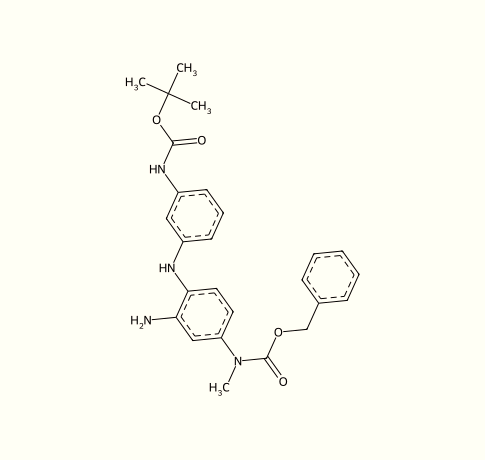 CN(C(=O)OCc1ccccc1)c1ccc(Nc2cccc(NC(=O)OC(C)(C)C)c2)c(N)c1